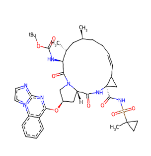 C[C@H]1CC/C=C\C2C[C@@]2(C(=O)NS(=O)(=O)C2(C)CC2)NC(=O)[C@@H]2C[C@@H](Oc3nc4nccn4c4ccccc34)CN2C(=O)[C@@H](NC(=O)OC(C)(C)C)[C@H](C)C1